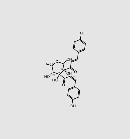 C[C@H]1OC(O)[C@](O)(C(=O)C=Cc2ccc(O)cc2)[C@](O)(C(=O)/C=C\c2ccc(O)cc2)[C@@H]1O